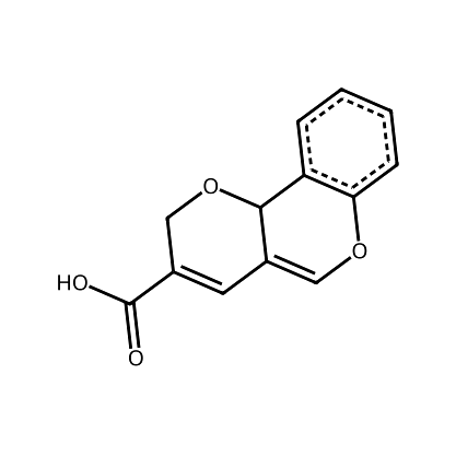 O=C(O)C1=CC2=COc3ccccc3C2OC1